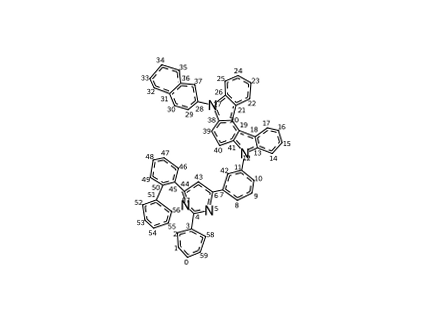 c1ccc(-c2nc(-c3cccc(-n4c5ccccc5c5c6c7ccccc7n(-c7ccc8ccccc8c7)c6ccc54)c3)cc(-c3ccccc3-c3ccccc3)n2)cc1